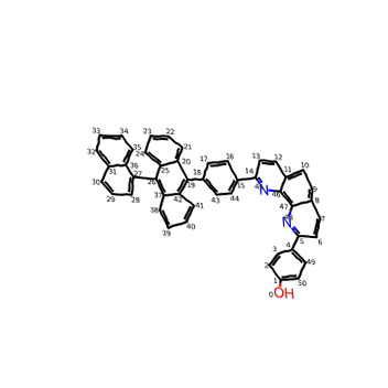 Oc1ccc(-c2ccc3ccc4ccc(-c5ccc(-c6c7ccccc7c(-c7cccc8ccccc78)c7ccccc67)cc5)nc4c3n2)cc1